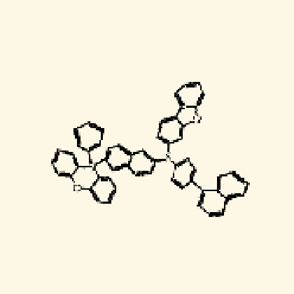 c1ccc([Si]2(c3ccc4cc(N(c5ccc(-c6cccc7ccccc67)cc5)c5ccc6c(c5)oc5ccccc56)ccc4c3)c3ccccc3Oc3ccccc32)cc1